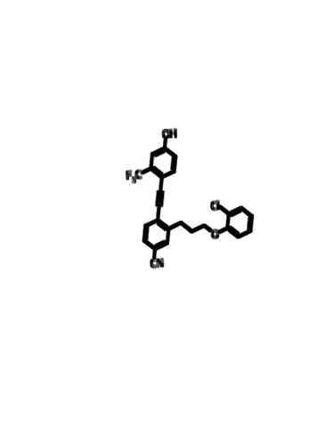 N#Cc1ccc(C#Cc2ccc(O)cc2C(F)(F)F)c(CCCOc2ccccc2Cl)c1